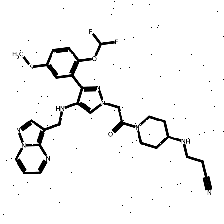 CSc1ccc(OC(F)F)c(-c2nn(CC(=O)N3CCC(NCCC#N)CC3)cc2NCc2cnn3cccnc23)c1